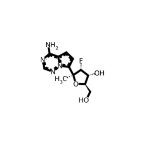 C[C@@]1(c2ccc3c(N)ncnn23)O[C@H](CO)[C@@H](O)[C@H]1F